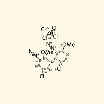 COc1ccc(Cl)cc1[N+]#N.COc1ccc(Cl)cc1[N+]#N.[Cl][Zn-2]([Cl])([Cl])[Cl]